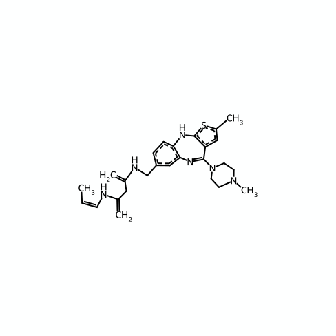 C=C(CC(=C)NCc1ccc2c(c1)N=C(N1CCN(C)CC1)c1cc(C)sc1N2)N/C=C\C